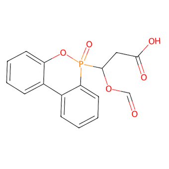 O=COC(CC(=O)O)P1(=O)Oc2ccccc2-c2ccccc21